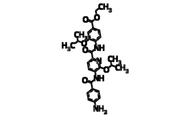 CCOC(=O)c1ccc(NC(=O)c2ccc(NC(=O)c3ccc(N)cc3)c(OC(C)C)n2)c(OC(C)C)c1